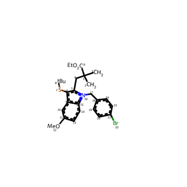 CCOC(=O)C(C)(C)Cc1c(SC(C)(C)C)c2cc(OC)ccc2n1Cc1ccc(Br)cc1